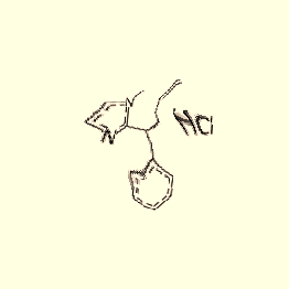 C=CCC(c1ccccc1)c1nccn1C.Cl